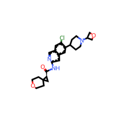 O=C(Nc1cc2cc(C3CCN(C4COC4)CC3)c(Cl)cc2cn1)[C@H]1CC12CCOCC2